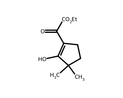 CCOC(=O)C(=O)C1=C(O)C(C)(C)CC1